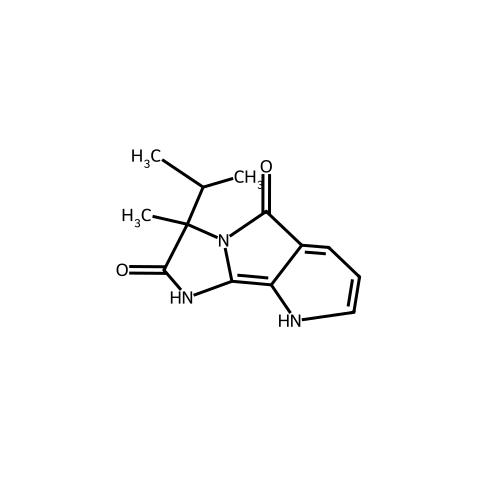 CC(C)C1(C)C(=O)Nc2c3[nH]cccc-3c(=O)n21